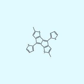 Cc1cc2c(s1)C1=C(c3cccs3)c3cc(C)sc3C1=C2c1cccs1